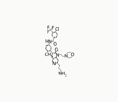 Cc1ccc(NC(=O)c2ccc(Cl)c(C(F)(F)F)c2)cc1-c1cc2cnc(CCCN)cc2n(CCN2CCOCC2)c1=O